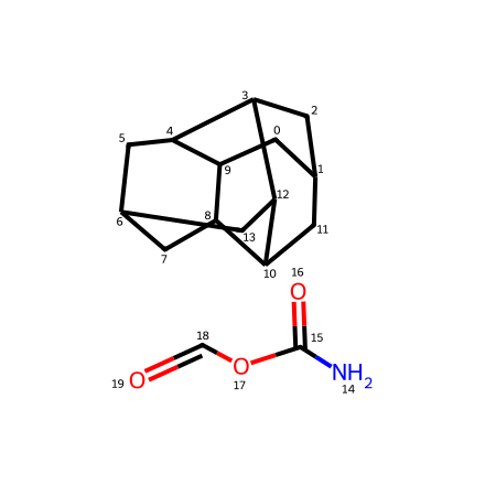 C1C2CC3C4CC5CC(C14)C(C2)C3C5.NC(=O)OC=O